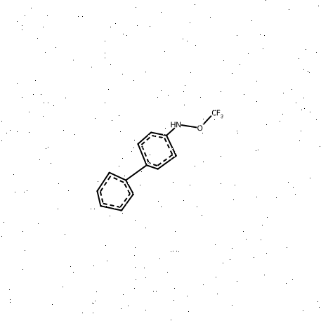 FC(F)(F)ONc1ccc(-c2ccccc2)cc1